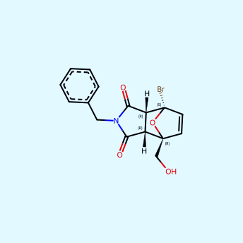 O=C1[C@@H]2[C@H](C(=O)N1Cc1ccccc1)[C@@]1(Br)C=C[C@@]2(CO)O1